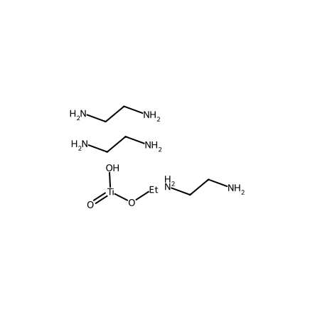 CC[O][Ti](=[O])[OH].NCCN.NCCN.NCCN